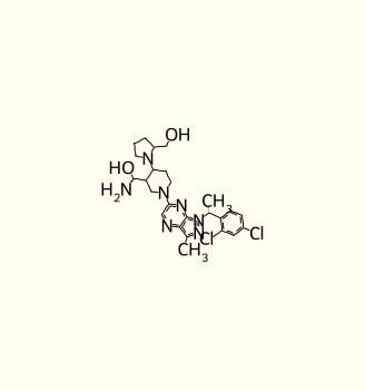 Cc1nn([C@H](C)c2ccc(Cl)cc2Cl)c2nc(N3CCC(N4CCCC4CO)C([C@@H](N)O)C3)cnc12